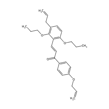 C=CCOc1ccc(C(=O)C=Cc2c(OCCC)ccc(CC=C)c2OCCC)cc1